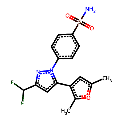 Cc1cc(-c2cc(C(F)F)nn2-c2ccc(S(N)(=O)=O)cc2)c(C)o1